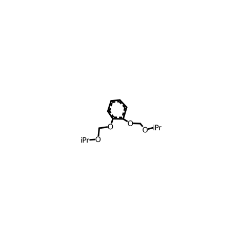 CC(C)OCOc1ccccc1OCOC(C)C